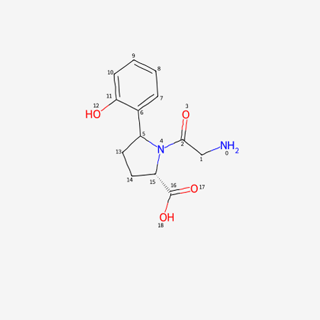 NCC(=O)N1C(c2ccccc2O)CC[C@H]1C(=O)O